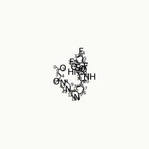 CC(=O)C=CC(=O)N1CCN(c2ccnc3ccc(-c4c[nH]c(=O)c(NS(=O)(=O)c5c(F)cc(F)cc5F)c4)cc23)CC1